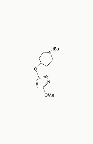 COc1ccc(OC2CCN(C(C)(C)C)CC2)nn1